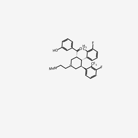 CNCCN1C[C@H](C(=O)c2cccc(O)c2)[C@H](c2cccc(F)c2C)[C@@H](c2cc[c]c(F)c2C(F)(F)F)C1